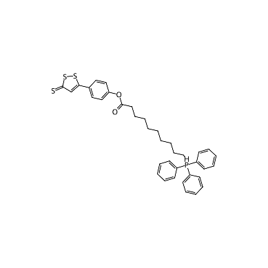 O=C(CCCCCCCCC[PH](c1ccccc1)(c1ccccc1)c1ccccc1)Oc1ccc(-c2cc(=S)ss2)cc1